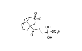 O=C(OCC(O)(O)S(=O)(=O)O)C12CC3CC1C(C3)S(=O)(=O)O2